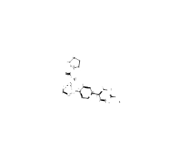 COc1ncc(-c2ccc(-n3ccsc3=NC(=O)N3CCCC3)cc2)cn1